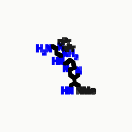 CCCN(CCC)C(/C=C(\N)Nc1ccc2ncc(/C(C=N)=C/NC)cc2n1)=C/N